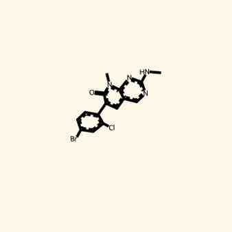 CNc1ncc2cc(-c3ccc(Br)cc3Cl)c(=O)n(C)c2n1